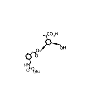 CC(C(=O)O)c1cc(C#CCO)cc(C#CCOC(=O)Cc2cccc(CNC(=O)OC(C)(C)C)c2)c1